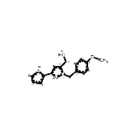 COc1ccc(Cn2nc(-c3cccs3)cc2CO)cc1